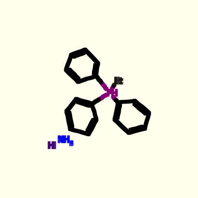 CC[PH](c1ccccc1)(c1ccccc1)c1ccccc1.I.N